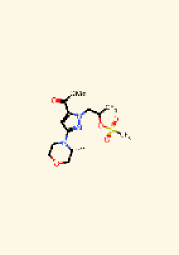 COC(=O)c1cc(N2CCOC[C@H]2C)nn1CC(OS(=O)(=O)C(F)(F)F)C(F)(F)F